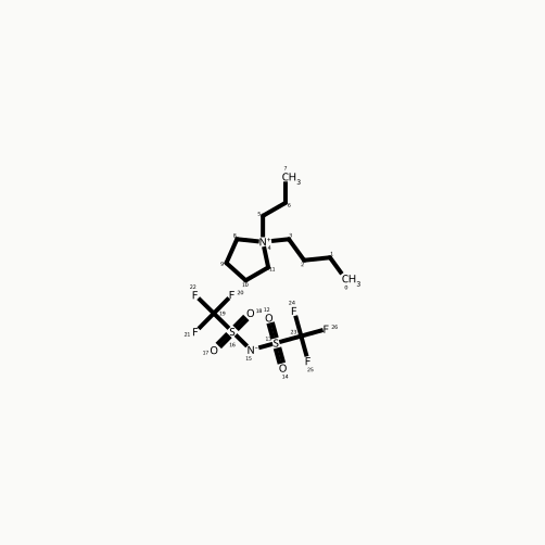 CCCC[N+]1(CCC)CCCC1.O=S(=O)([N-]S(=O)(=O)C(F)(F)F)C(F)(F)F